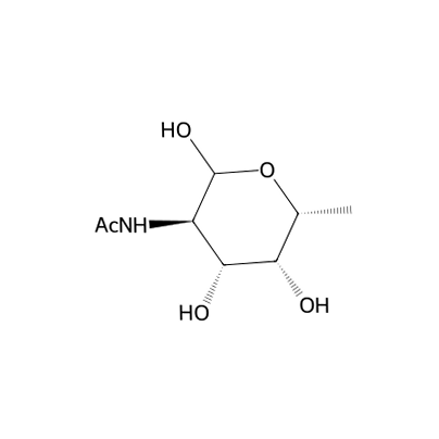 CC(=O)N[C@H]1C(O)O[C@H](C)[C@H](O)[C@@H]1O